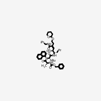 CCCC[C@@H](C(=O)N[C@@H](CC(C)C)[C@@H](O)C=C(CCOC1CCCCO1)C(=O)NCC(C)C)N(C(=O)[C@H](C)NC(=O)OCc1ccccc1)c1cccc2ccccc12